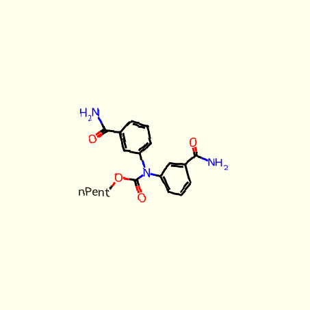 CCCCCOC(=O)N(c1cccc(C(N)=O)c1)c1cccc(C(N)=O)c1